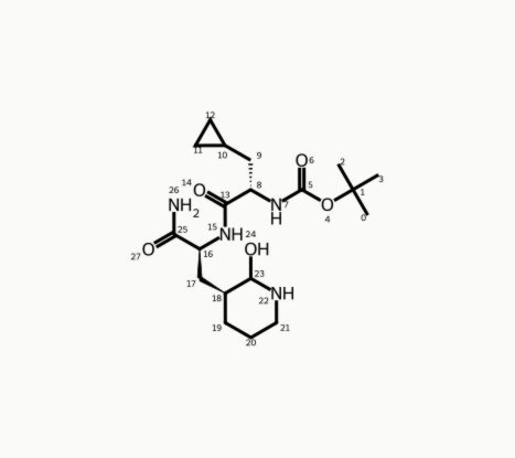 CC(C)(C)OC(=O)N[C@@H](CC1CC1)C(=O)N[C@@H](C[C@@H]1CCCNC1O)C(N)=O